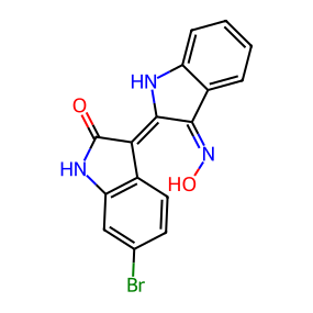 O=C1Nc2cc(Br)ccc2/C1=C1/Nc2ccccc2/C1=N/O